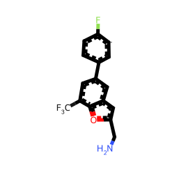 NCc1cc2cc(-c3c[c]c(F)cc3)cc(C(F)(F)F)c2o1